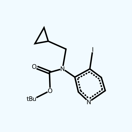 CC(C)(C)OC(=O)N(CC1CC1)c1cnccc1I